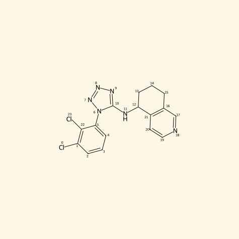 Clc1cccc(-n2nnnc2NC2CCCc3cnccc32)c1Cl